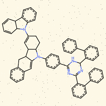 C1=CC2c3ccccc3N(C3=CC4C5Cc6ccccc6C=C5N(c5ccc(C6=NC(c7ccccc7-c7ccccc7)=NC(c7ccccc7-c7ccccc7)N6)cc5)C4CC3)C2C=C1